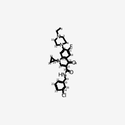 CCN1CCN(c2cc3c(cc2F)c(=O)c(C(=O)NCc2cccc(Cl)c2)cn3C2CC2)CC1